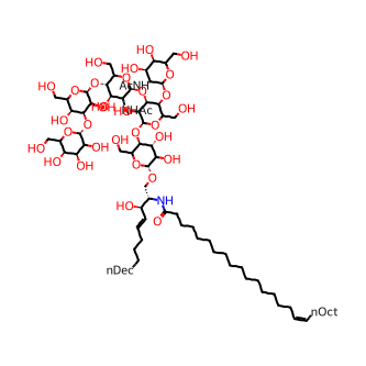 CCCCCCCC/C=C\CCCCCCCCCCCCCCCC(=O)N[C@@H](CO[C@@H]1OC(CO)[C@@H](O[C@@H]2OC(CO)[C@H](O[C@@H]3OC(CO)[C@H](O)[C@H](O)C3NC(C)=O)[C@H](O[C@@H]3OC(CO)[C@@H](O[C@@H]4OC(CO)[C@H](O)[C@H](O[C@H]5OC(CO)[C@H](O)[C@H](O)C5O)C4O)[C@H](O)C3NC(C)=O)C2O)[C@H](O)C1O)[C@H](O)/C=C/CCCCCCCCCCCCC